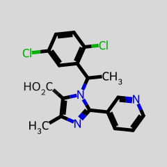 Cc1nc(-c2cccnc2)n(C(C)c2cc(Cl)ccc2Cl)c1C(=O)O